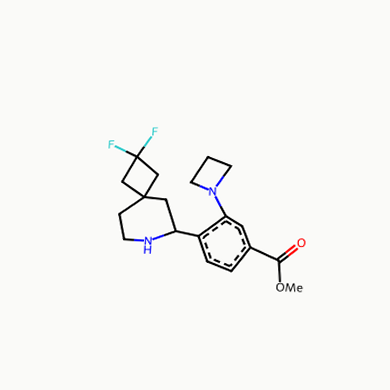 COC(=O)c1ccc(C2CC3(CCN2)CC(F)(F)C3)c(N2CCC2)c1